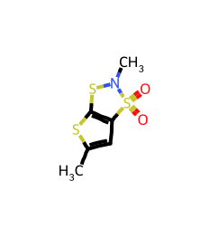 Cc1cc2c(s1)SN(C)S2(=O)=O